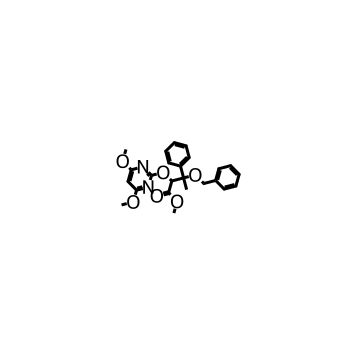 COC(=O)C(Oc1nc(OC)cc(OC)n1)C(C)(OCc1ccccc1)c1ccccc1